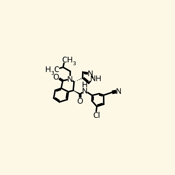 CC(C)CN1C(=O)c2ccccc2[C@H](C(=O)Nc2cc(Cl)cc(C#N)c2)[C@H]1c1cn[nH]c1